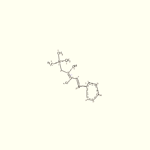 C[N+](C)(C)C/C(O)=[P+](\[O-])N=Nc1ccccc1